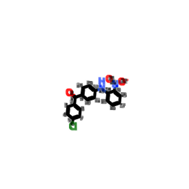 O=C(c1ccc(Cl)cc1)c1ccc(Nc2ccccc2[N+](=O)[O-])cc1